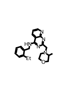 CCc1ccccc1CNc1nc(CN2CCOCC2C)nc2ncccc12